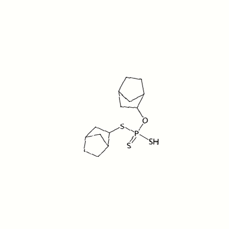 S=P(S)(OC1CC2CCC1C2)SC1CC2CCC1C2